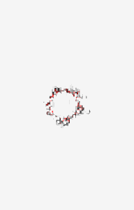 CCCC[C@H]1C(=O)N(C)[C@@H](CCCC)C(=O)N[C@@H](CN)C(=O)N[C@H](C(=O)NCC(N)=O)CSCC(=O)N[C@@H](Cc2ccc(O)cc2)C(=O)N(C)[C@@H](C)C(=O)N[C@@H](CC(N)=O)C(=O)N2CCC[C@H]2C(=O)N[C@@H](CN)C(=O)N[C@@H](CC(C)C)C(=O)N2C[C@H](O)C[C@H]2C(=O)N[C@@H](Cc2c[nH]c3ccccc23)C(=O)N[C@@H](CO)C(=O)N[C@@H](Cc2cn(CC(=O)O)c3ccccc23)C(=O)N1C